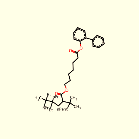 CCCCCC(C)(C)C(CC(CC)(CCC)C(C)(CC)CCC)C(=O)OCCCCCCC(=O)Oc1ccccc1-c1ccccc1